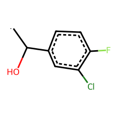 [CH2]C(O)c1ccc(F)c(Cl)c1